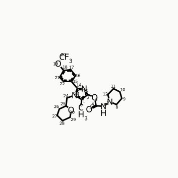 Cc1c(OC(=O)NN2CCCCC2)nc(-c2ccc(OC(F)(F)F)cc2)n1CC1CCCCO1